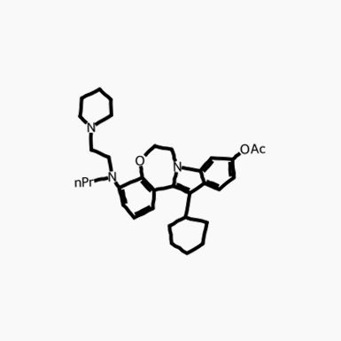 CCCN(CCN1CCCCC1)c1cccc2c1OCCn1c-2c(C2CCCCC2)c2ccc(OC(C)=O)cc21